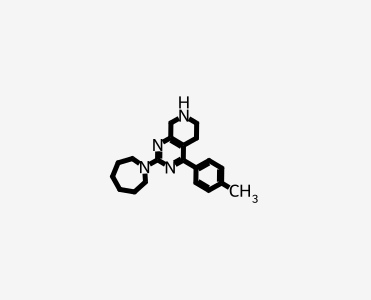 Cc1ccc(-c2nc(N3CCCCCC3)nc3c2CCNC3)cc1